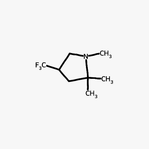 CN1CC(C(F)(F)F)CC1(C)C